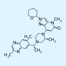 Cc1cnc2ccc([C@H](C)N3C[C@H](C)N(c4cc(=O)n(C)c5cn(C6CCCCO6)nc45)C[C@H]3C)cc2n1